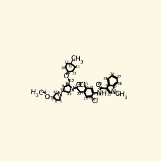 CCO[C@H]1CCN([C@H]2C[C@@H](CO[C@H]3CC[C@H](C)CC3)N(C(=O)Cc3cc(Cl)c(NC(=O)c4cn(C)c5ccccc45)cc3Cl)C2)C1